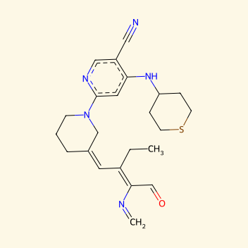 C=N/C(C=O)=C(\C=C1\CCCN(c2cc(NC3CCSCC3)c(C#N)cn2)C1)CC